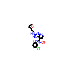 O/N=C(/Nc1ccc(F)c(Cl)c1)c1ccnc2nc(NCCC3CCCO3)[nH]c12